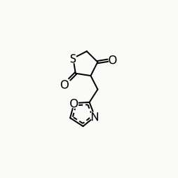 O=C1CSC(=O)C1Cc1ncco1